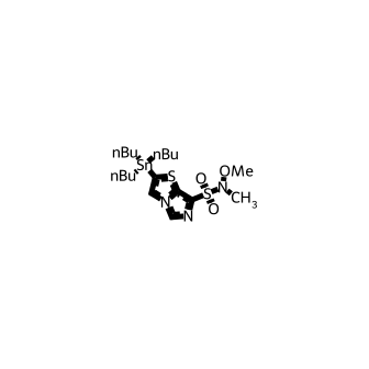 CCC[CH2][Sn]([CH2]CCC)([CH2]CCC)[c]1cn2cnc(S(=O)(=O)N(C)OC)c2s1